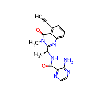 C#Cc1cccc2nc([C@H](C)NC(=O)c3nccnc3N)n(C)c(=O)c12